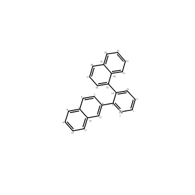 c1cnc(-c2ccc3ccccc3c2)c(-c2cccc3ccccc23)c1